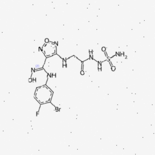 NS(=O)(=O)NNC(=O)CNc1nonc1/C(=N/O)Nc1ccc(F)c(Br)c1